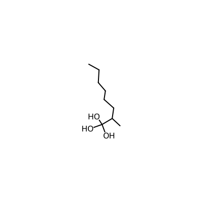 CCCCCCC(C)C(O)(O)O